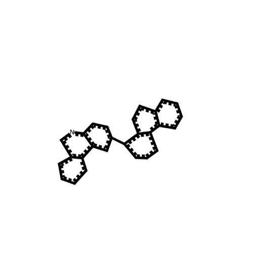 [c]1cc2ncc3ccccc3c2cc1-c1cccc2c1ccc1ccccc12